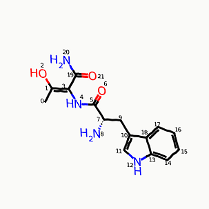 C/C(O)=C(\NC(=O)[C@@H](N)Cc1c[nH]c2ccccc12)C(N)=O